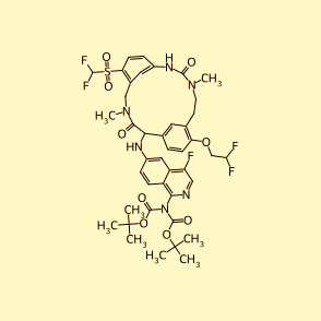 CN1CCc2cc(ccc2OCC(F)F)C(Nc2ccc3c(N(C(=O)OC(C)(C)C)C(=O)OC(C)(C)C)ncc(F)c3c2)C(=O)N(C)Cc2cc(ccc2S(=O)(=O)C(F)F)NC1=O